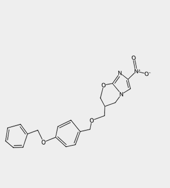 O=[N+]([O-])c1cn2c(n1)OCC(COCc1ccc(OCc3ccccc3)cc1)C2